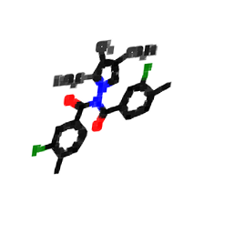 CCOC(=O)c1cn(N(C(=O)c2ccc(C)c(F)c2)C(=O)c2ccc(C)c(F)c2)c(C(=O)OCC)c1C(F)(F)F